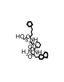 NC(=O)[C@H](Cc1ccc2ccccc2c1)NC(=O)[C@@H]1CCCCN1C(=O)[C@H](CSCO)NC(=O)CCCc1ccccc1